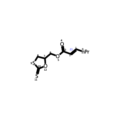 CCC/C=C/C(=O)OCC1CSC(=S)O1